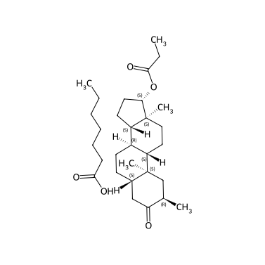 CCC(=O)O[C@H]1CC[C@H]2[C@@H]3CC[C@H]4CC(=O)[C@H](C)C[C@]4(C)[C@H]3CC[C@]12C.CCCCCCC(=O)O